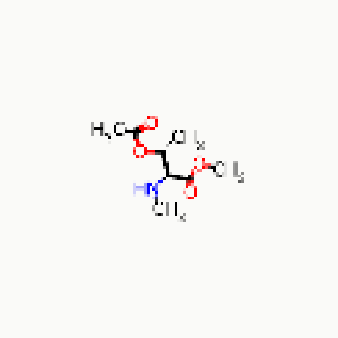 CN[C@H](C(=O)OC)[C@@H](C)OC(C)=O